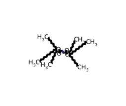 CCCCCCCCCCCC(CCCCCCCC)(CCCCCCCC)OC(=O)/C=C/C(=O)OC(CCCCCCCC)(CCCCCCCC)CCCCCCCCCCC